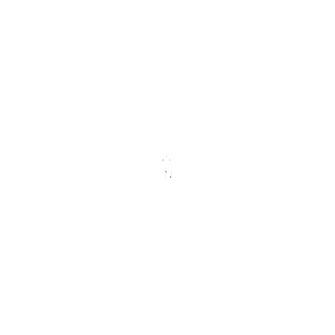 [C](=N\OCc1ccccc1-c1ccccc1)/c1ccccc1C1CCCCC1